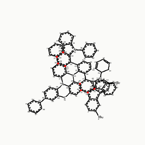 CC(C)(C)c1ccc2c(c1)c1cc(C(C)(C)C)ccc1n2-c1cc2c3c(c1)N(c1c(-c4cccc5c6ccccc6n(-c6ccccc6)c45)cccc1-c1cccc4c5ccccc5n(C5C=CC=CC5)c14)c1cc(-c4ccccc4)ccc1N3c1ccc(-c3ccccc3)cc1S2